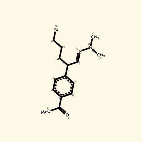 COC(=O)c1ccc(C(C=NN(C)C)CCCBr)cc1